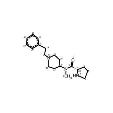 CN(C(=O)[C@@H]1CCCN1)C1CCN(CCc2ccccc2)CC1